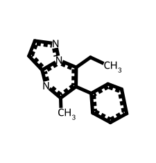 CCc1c(-c2ccccc2)c(C)nc2ccnn12